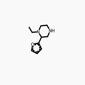 CCN1CCNCC1c1ccco1